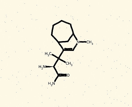 CN1C=C(C(C)(C)[C@H](N)C(N)=O)C2CCCCC1C2